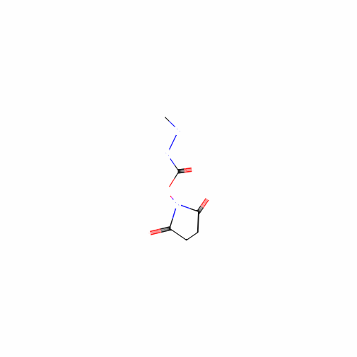 CNNC(=O)ON1C(=O)CCC1=O